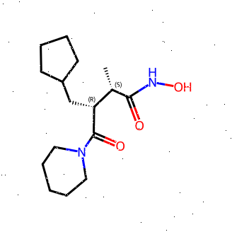 C[C@H](C(=O)NO)[C@@H](CC1CCCC1)C(=O)N1CCCCC1